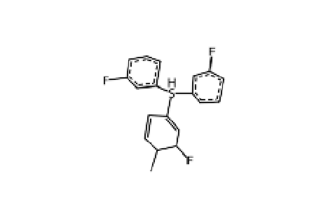 CC1C=CC([SH](c2cccc(F)c2)c2cccc(F)c2)=CC1F